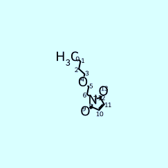 CCCCOCCN1C(=O)C=CC1=O